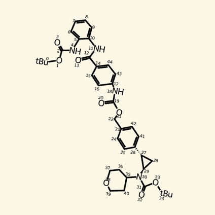 CC(C)(C)OC(=O)Nc1ccccc1NC(=O)c1ccc(NC(=O)OCc2ccc([C@@H]3C[C@H]3N(C(=O)OC(C)(C)C)C3CCOCC3)cc2)cc1